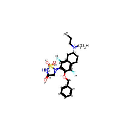 CC(C)CCN(C(=O)O)[C@@H]1CCc2c(F)c(OCc3ccccc3)c(N3CC(=O)NS3(=O)=O)c(F)c2C1